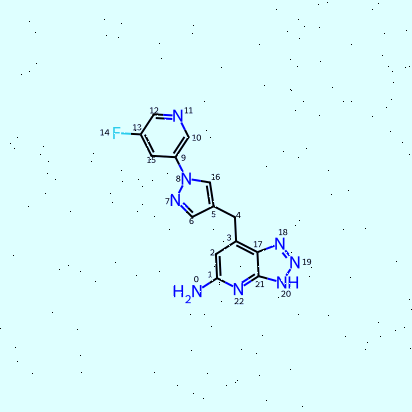 Nc1cc(Cc2cnn(-c3cncc(F)c3)c2)c2nn[nH]c2n1